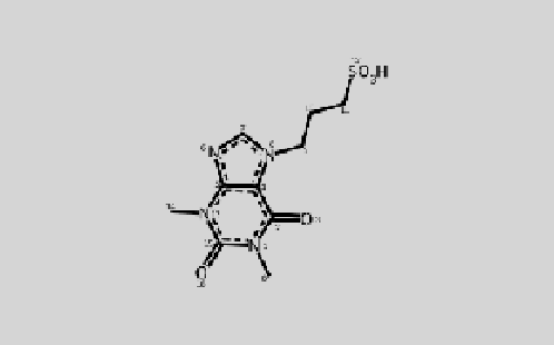 Cn1c(=O)c2c(ncn2CCCS(=O)(=O)O)n(C)c1=O